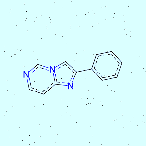 c1ccc(-c2cn3cnccc3n2)cc1